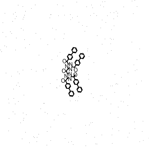 O=C(c1ccc(-c2ccccc2)cc1)c1nc(C(=O)c2ccc(-c3ccccc3)cc2)nc(C(=O)c2nc(C(=O)c3ccc(-c4ccccc4)cc3)nc(C(=O)c3ccc(-c4ccccc4)cc3)n2)n1